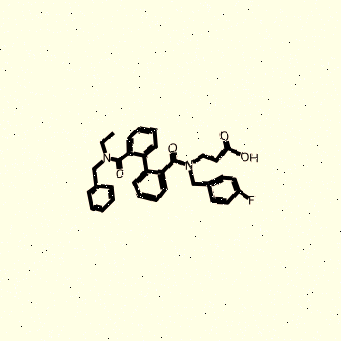 CCN(Cc1ccccc1)C(=O)c1ccccc1-c1ccccc1C(=O)N(CCC(=O)O)Cc1ccc(F)cc1